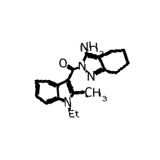 CCn1c(C)c(C(=O)n2nc3c(c2N)CCCC3)c2ccccc21